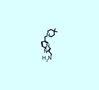 CC1(C)CCN(Cc2ccc3nc(CN)cn3c2)CC1